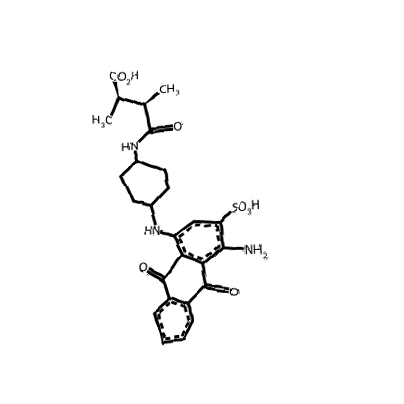 C[C@@H](C(=O)O)[C@@H](C)C(=O)NC1CCC(Nc2cc(S(=O)(=O)O)c(N)c3c2C(=O)c2ccccc2C3=O)CC1